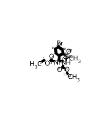 CCOC(=O)NC(NC(=O)OCC)c1ccc(Br)cc1S(C)(=O)=O